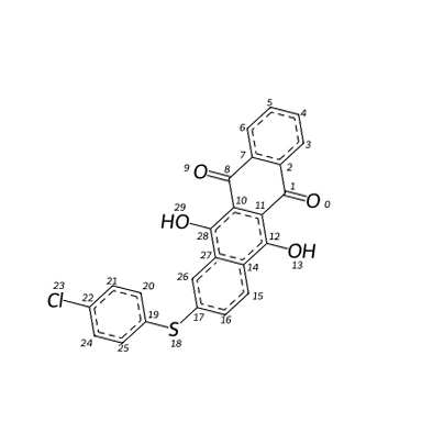 O=C1c2ccccc2C(=O)c2c1c(O)c1ccc(Sc3ccc(Cl)cc3)cc1c2O